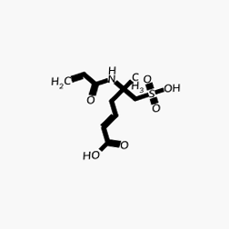 C=CC(=O)NC(C)(CC=CC(=O)O)CS(=O)(=O)O